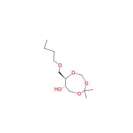 CCCCOC[C@H]1OCOC(C)(C)OC[C@@H]1O